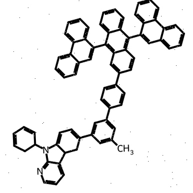 Cc1cc(C2=CC=C3C(C2)c2cccnc2N3C2C=CC=CC2)cc(-c2ccc(-c3ccc4c(-c5cc6ccccc6c6ccccc56)c5ccccc5c(-c5cc6ccccc6c6ccccc56)c4c3)cc2)c1